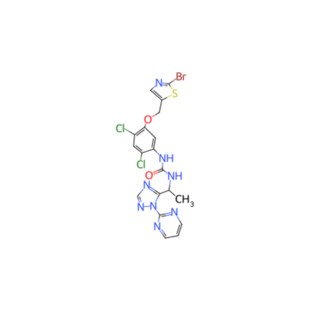 CC(NC(=O)Nc1cc(OCc2cnc(Br)s2)c(Cl)cc1Cl)c1ncnn1-c1ncccn1